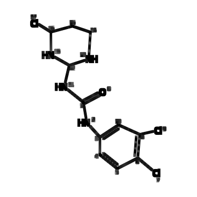 O=C(Nc1ccc(Cl)c(Cl)c1)NC1NCCC(Cl)N1